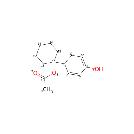 CC(=O)OC1(C2C=CC(O)=CC2)CCCCC1